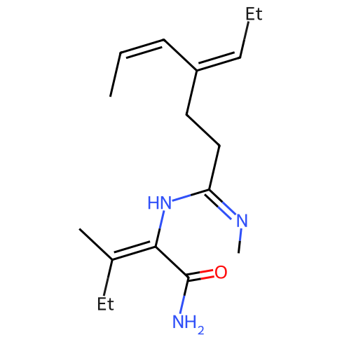 C/C=C\C(=C/CC)CC/C(=N/C)N/C(C(N)=O)=C(\C)CC